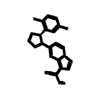 CSC(=N)c1cnn2ccc(N3CCC[C@@H]3c3cc(F)ccc3F)nc12